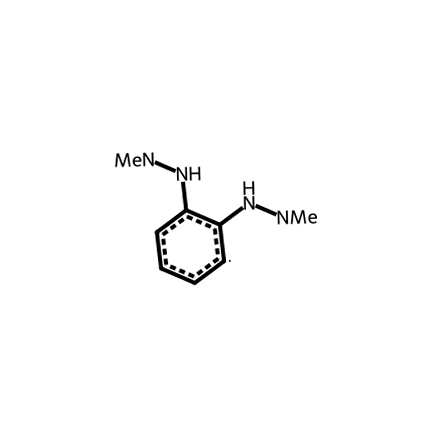 CNNc1[c]cccc1NNC